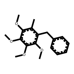 COc1c(C)c(Cc2ccccc2)c(OC)c(OC)c1OC